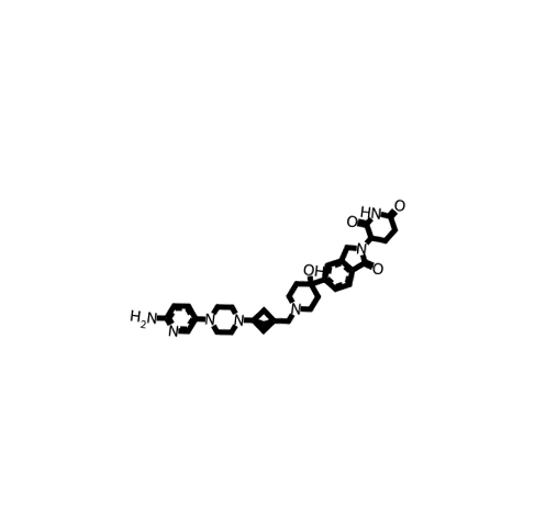 Nc1ccc(N2CCN(C34CC(CN5CCC(O)(c6ccc7c(c6)CN(C6CCC(=O)NC6=O)C7=O)CC5)(C3)C4)CC2)cn1